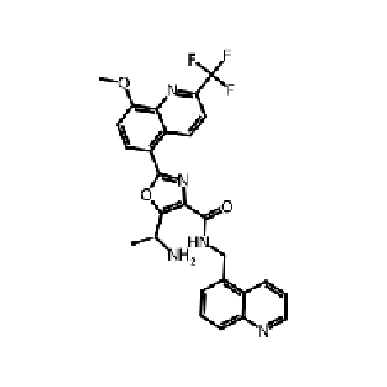 COc1ccc(-c2nc(C(=O)NCc3cccc4ncccc34)c([C@H](C)N)o2)c2ccc(C(F)(F)F)nc12